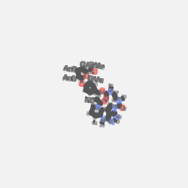 COC(=O)[C@H]1O[C@@H](Oc2ccc(COC(=O)N(C)CCN(C)C(=O)n3ccc4c(N(C)[C@H]5CN(C(=O)CC#N)CC[C@H]5C)ncnc43)cc2OC)[C@H](OC(C)=O)[C@@H](OC(C)=O)[C@@H]1OC(C)=O